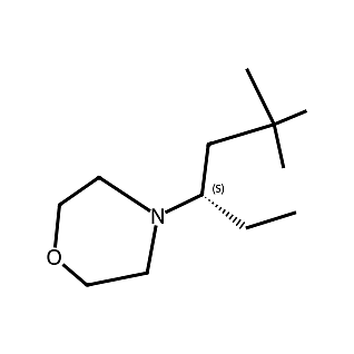 CC[C@@H](CC(C)(C)C)N1CCOCC1